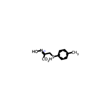 Cc1ccc(SC/C(=N/O)C(=O)O)cc1